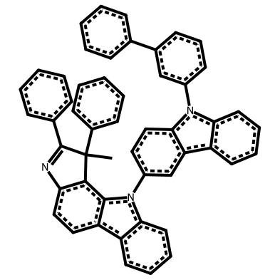 CC1(c2ccccc2)C(c2ccccc2)=Nc2ccc3c4ccccc4n(-c4ccc5c(c4)c4ccccc4n5-c4cccc(-c5ccccc5)c4)c3c21